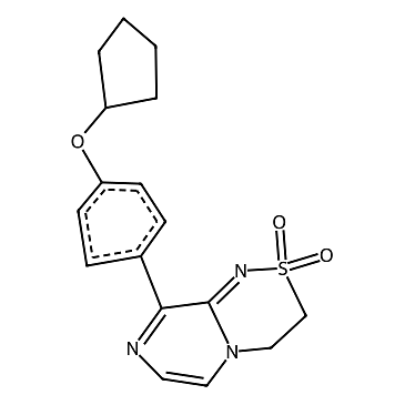 O=S1(=O)CCN2C=CN=C(c3ccc(OC4CCCC4)cc3)C2=N1